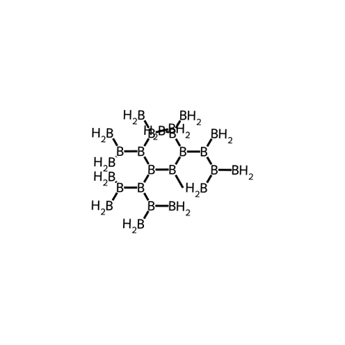 BB(B)B(B)B(B(B)B)B(C)B(B(B(B)B)B(B)B)B(B(B)B)B(B)B